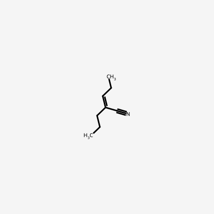 CCC=C(C#N)CCC